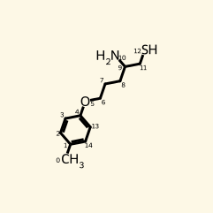 Cc1ccc(OCCCC(N)CS)cc1